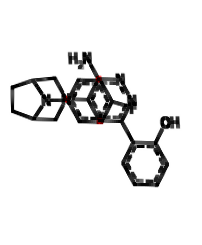 Nc1nnc(-c2ccccc2O)cc1N1CC2CCC(C1)N2c1ccc(F)cc1